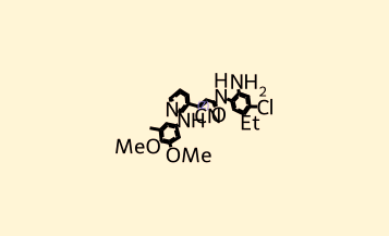 CCc1cc(NC(=O)/C=C(\C#N)c2cccnc2Nc2cc(C)c(OC)c(OC)c2)c(N)cc1Cl